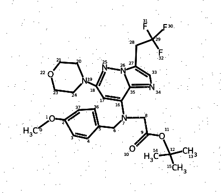 COc1ccc(CN(CC(=O)OC(C)(C)C)c2cc(N3CCOCC3)nn3c(CC(F)(F)F)cnc23)cc1